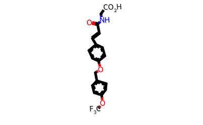 O=C(O)CNC(=O)/C=C/c1ccc(OCc2ccc(OC(F)(F)F)cc2)cc1